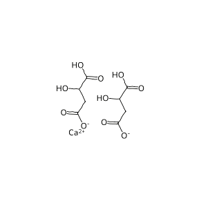 O=C([O-])CC(O)C(=O)O.O=C([O-])CC(O)C(=O)O.[Ca+2]